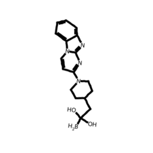 BC(O)(O)CC1CCN(c2ccn3c(n2)nc2ccccc23)CC1